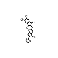 Cn1c(-c2nccs2)cc2oc(C=C3C(=O)c4cc(Cl)c(Cl)cc4C3=O)cc21